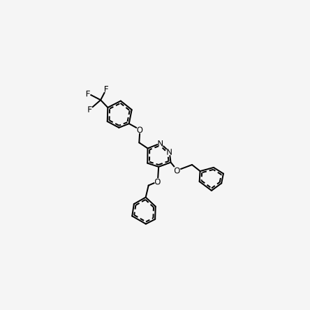 FC(F)(F)c1ccc(OCc2cc(OCc3ccccc3)c(OCc3ccccc3)nn2)cc1